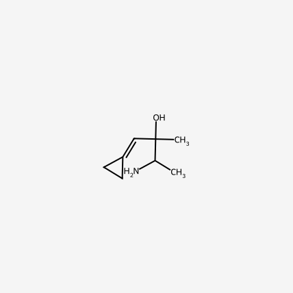 CC(N)C(C)(O)C=C1CC1